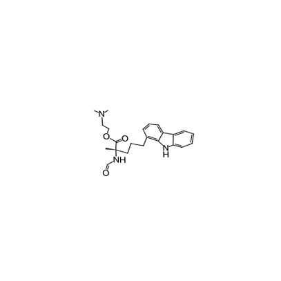 CN(C)CCOC(=O)[C@](C)(CCCc1cccc2c1[nH]c1ccccc12)NC=O